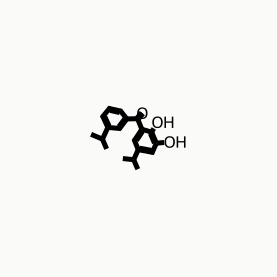 CC(C)c1cccc(C(=O)c2cc(C(C)C)cc(O)c2O)c1